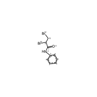 O=C(Nc1ccccc1)C(Br)CBr